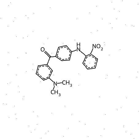 CN(C)c1cccc(C(=O)c2ccc(Nc3ccccc3[N+](=O)[O-])cc2)c1